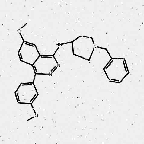 COc1cccc(-c2nnc(NC3CCN(Cc4ccccc4)CC3)c3cc(OC)ccc23)c1